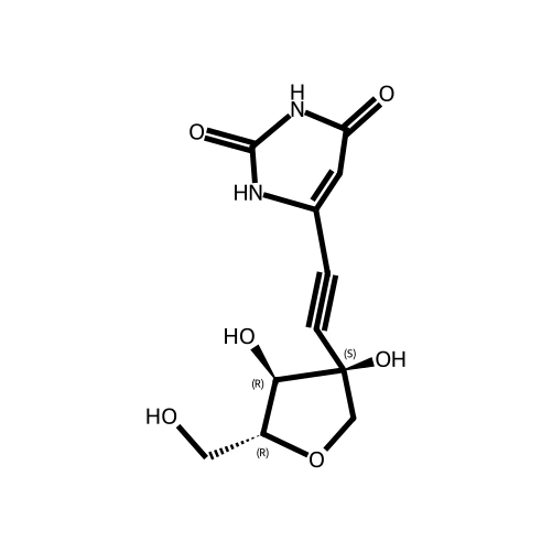 O=c1cc(C#C[C@]2(O)CO[C@H](CO)[C@H]2O)[nH]c(=O)[nH]1